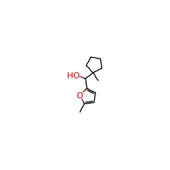 Cc1ccc(C(O)C2(C)CCCC2)o1